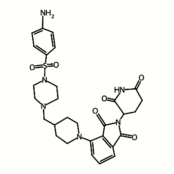 Nc1ccc(S(=O)(=O)N2CCN(CC3CCN(c4cccc5c4C(=O)N(C4CCC(=O)NC4=O)C5=O)CC3)CC2)cc1